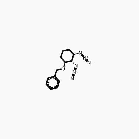 [N-]=[N+]=N[C@@H]1[C@@H](OCc2ccccc2)CCC[C@H]1N=[N+]=[N-]